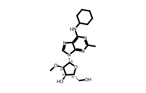 CO[C@@H]1[C@H](O)[C@@H](CO)O[C@H]1n1cnc2c(NC3CCCCC3)nc(C)nc21